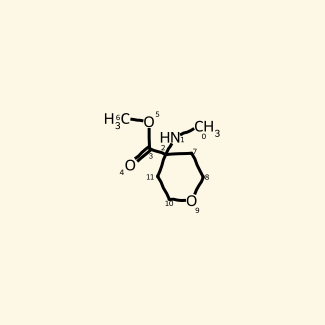 CNC1(C(=O)OC)CCOCC1